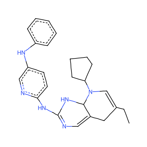 CCC1=CN(C2CCCC2)C2NC(Nc3ccc(Nc4ccccc4)cn3)=NC=C2C1